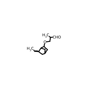 CC=C1CC2CC(OCC(C)C=O)C1C2